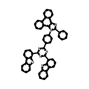 c1ccc(-c2nc3c4ccccc4c4ccccc4c3n2-c2ccc(-c3nc(-c4cccc5c4sc4ccccc45)nc(-c4cccc5c4sc4ccccc45)n3)cc2)cc1